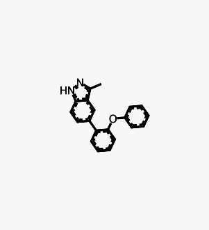 Cc1n[nH]c2ccc(-c3ccccc3Oc3ccccc3)cc12